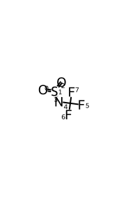 O=S(=O)=NC(F)(F)F